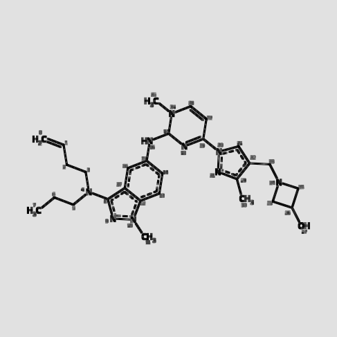 C=CCCN(CCC)c1nn(C)c2ccc(NC3N=C(n4cc(CN5CC(O)C5)c(C)n4)C=CN3C)cc12